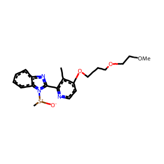 COCCOCCCOc1ccnc(-c2nc3ccccc3n2[S+](C)[O-])c1C